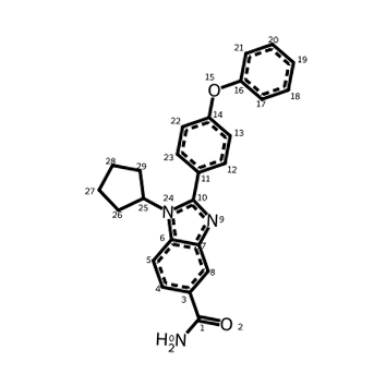 NC(=O)c1ccc2c(c1)nc(-c1ccc(Oc3ccccc3)cc1)n2C1CCCC1